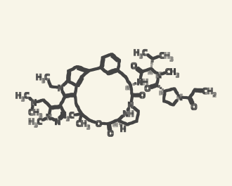 C=CC(=O)N1CC[C@H](C(=O)N(C)[C@H](C(=O)N[C@H]2Cc3cccc(c3)-c3ccc4c(c3)c(c(-c3cnn(C)c3CN(C)C)n4CC)CC(C)(C)COC(=O)[C@@H]3CCCN(N3)C2=O)C(C)C)C1